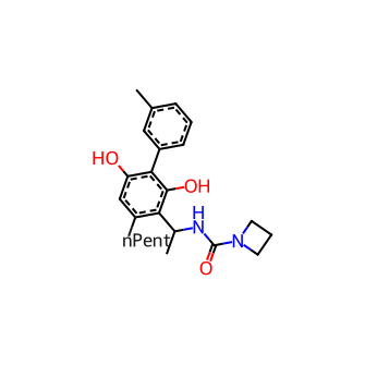 CCCCCc1cc(O)c(-c2cccc(C)c2)c(O)c1C(C)NC(=O)N1CCC1